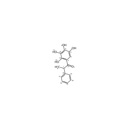 CC(C(=O)c1cc(O)c(O)c(O)c1O)c1ccccc1